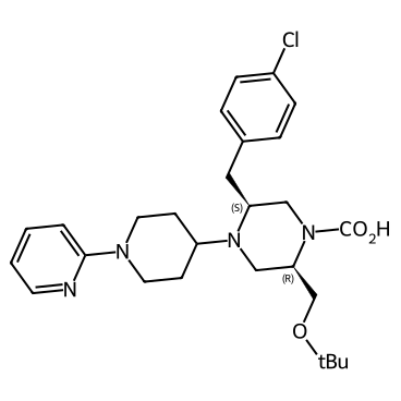 CC(C)(C)OC[C@H]1CN(C2CCN(c3ccccn3)CC2)[C@@H](Cc2ccc(Cl)cc2)CN1C(=O)O